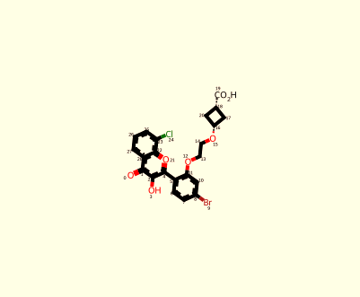 O=c1c(O)c(-c2ccc(Br)cc2OCCO[C@H]2C[C@@H](C(=O)O)C2)oc2c(Cl)cccc12